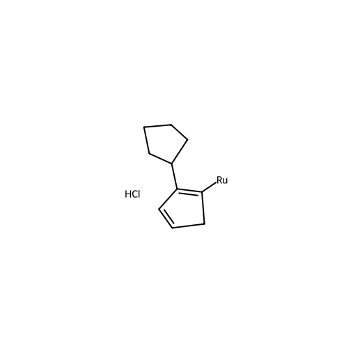 Cl.[Ru][C]1=C(C2CCCC2)C=CC1